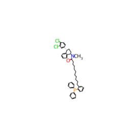 CN(C(=O)CCCCCCCCCCc1ccccc1P(c1ccccc1)c1ccccc1)[C@H]1CC[C@@H](c2ccc(Cl)c(Cl)c2)c2ccccc21